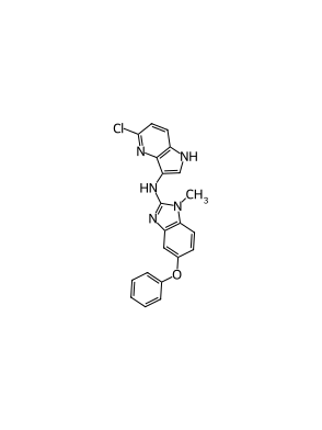 Cn1c(Nc2c[nH]c3ccc(Cl)nc23)nc2cc(Oc3ccccc3)ccc21